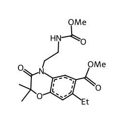 CCc1cc2c(cc1C(=O)OC)N(CCNC(=O)OC)C(=O)C(C)(C)O2